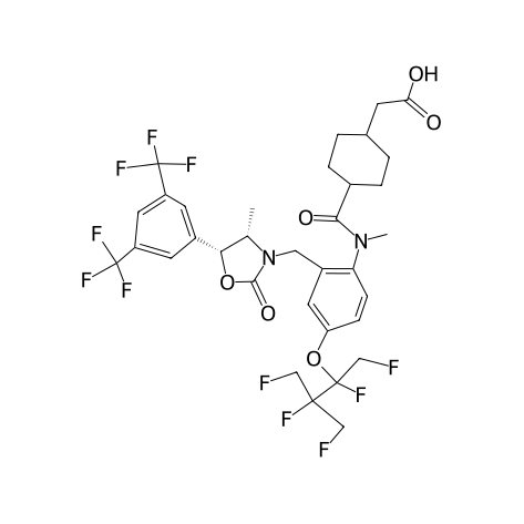 C[C@H]1[C@@H](c2cc(C(F)(F)F)cc(C(F)(F)F)c2)OC(=O)N1Cc1cc(OC(F)(CF)C(F)(CF)CF)ccc1N(C)C(=O)C1CCC(CC(=O)O)CC1